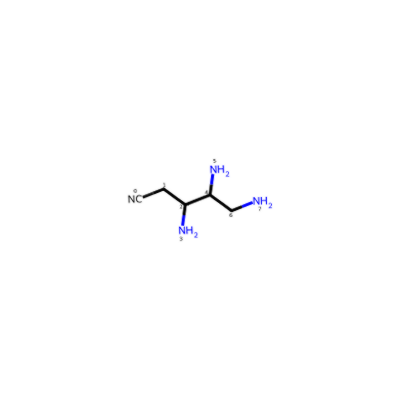 N#CC[C](N)C(N)CN